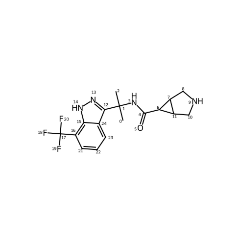 CC(C)(NC(=O)C1C2CNCC21)c1n[nH]c2c(C(F)(F)F)cccc12